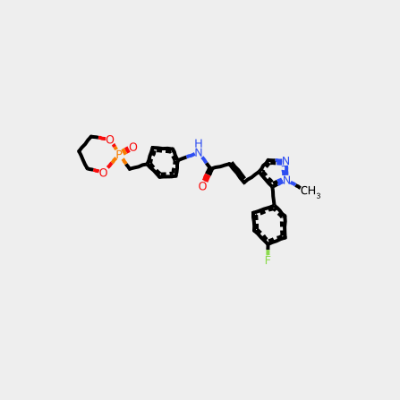 Cn1ncc(/C=C/C(=O)Nc2ccc(CP3(=O)OCCCO3)cc2)c1-c1ccc(F)cc1